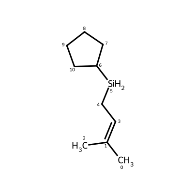 CC(C)=CC[SiH2]C1CCCC1